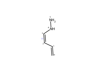 C=C/C=C\NN